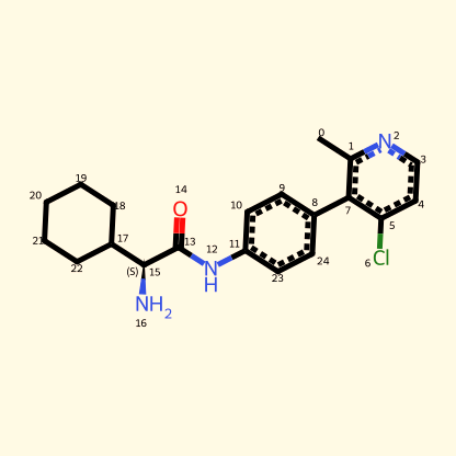 Cc1nccc(Cl)c1-c1ccc(NC(=O)[C@@H](N)C2CCCCC2)cc1